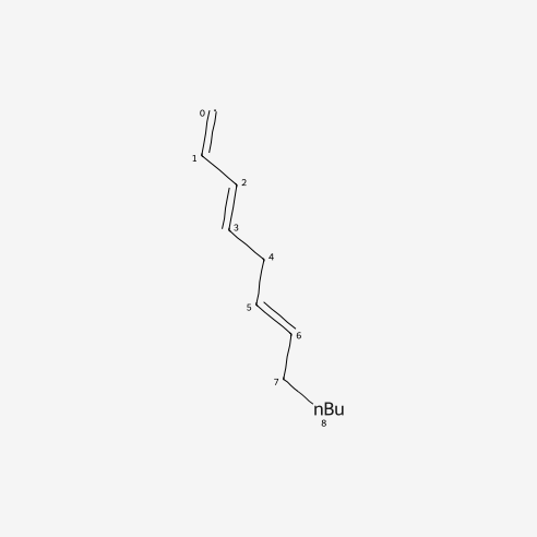 [CH]=CC=CCC=CCCCCC